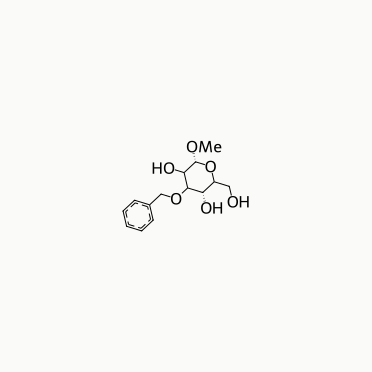 CO[C@@H]1OC(CO)[C@H](O)C(OCc2ccccc2)C1O